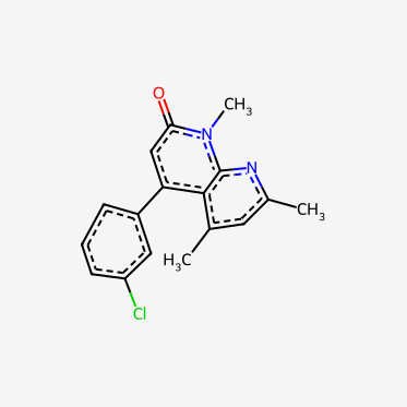 Cc1cc(C)c2c(-c3cccc(Cl)c3)cc(=O)n(C)c2n1